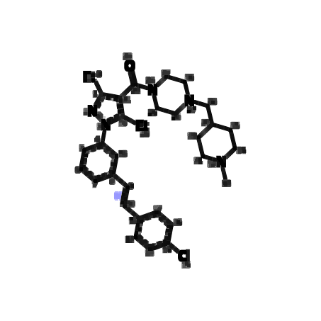 CCc1nn(-c2cccc(/C=C/c3ccc(Cl)cc3)c2)c(CC)c1C(=O)N1CCN(CC2CCN(C)CC2)CC1